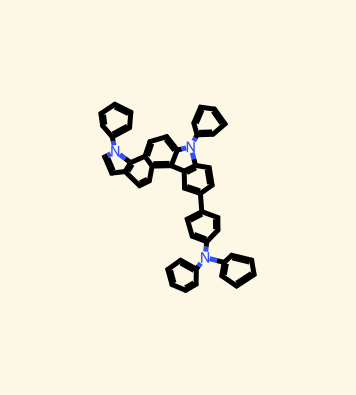 c1ccc(N(c2ccccc2)c2ccc(-c3ccc4c(c3)c3c5ccc6ccn(-c7ccccc7)c6c5ccc3n4-c3ccccc3)cc2)cc1